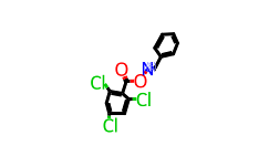 O=C(O/N=C/c1ccccc1)c1c(Cl)cc(Cl)cc1Cl